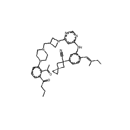 CCCC(=O)c1cccc(N2CCN(CC3CN(c4cc(Nc5cc(C6(C#N)CC7(CC7)C6)ccc5/C=C(\C)CC)ncn4)C3)CC2)c1C(C)=O